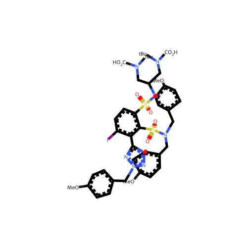 COc1ccc(CN(Cc2ccc(OC)cc2)S(=O)(=O)c2c(S(=O)(=O)NC(CN(C(=O)O)C(C)(C)C)CN(C(=O)O)C(C)(C)C)ccc(I)c2-c2nnn(Cc3ccc(OC)cc3)n2)cc1